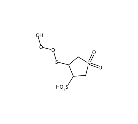 O=S1(=O)CC(SOOO)C(S(=O)(=O)O)C1